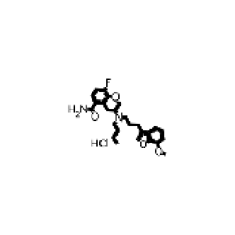 CCCCN(CCCc1coc2c(OC)cccc12)C1COc2c(F)ccc(C(N)=O)c2C1.Cl